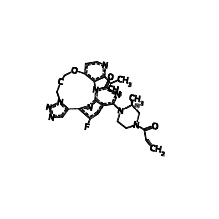 C=CC(=O)N1CCN(c2nc(=O)n3c4nc(c(F)cc24)-c2cnnn2CCCOc2ccnc(C(C)C)c2-3)[C@@H](C)C1